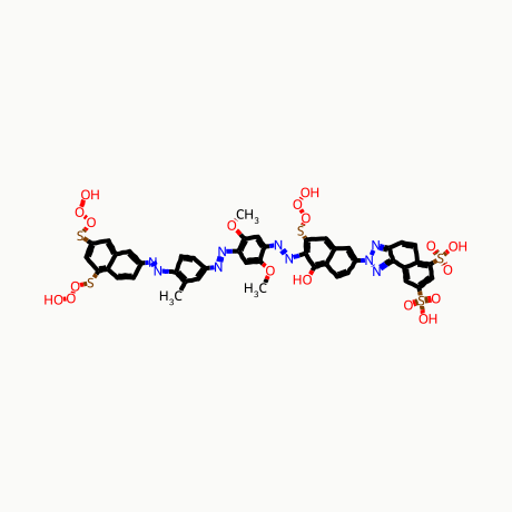 COc1cc(N=Nc2c(SOOO)cc3cc(-n4nc5ccc6c(S(=O)(=O)O)cc(S(=O)(=O)O)cc6c5n4)ccc3c2O)c(OC)cc1N=Nc1ccc(N=Nc2ccc3c(SOOO)cc(SOOO)cc3c2)c(C)c1